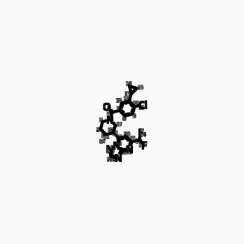 C[C@@H]1CCN(C(=O)c2ccc(Cl)c(C3CC3)c2)C[C@H]1c1cc(C(F)F)nc2ncnn12